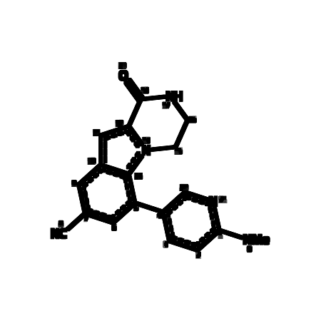 CNc1ccc(-c2cc(C#N)cc3cc4n(c23)CCNC4=O)cn1